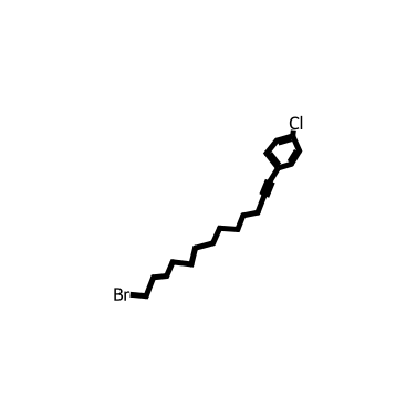 Clc1ccc(C#CCCCCCCCCCCCBr)cc1